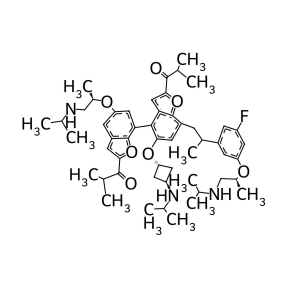 CC(C)NC[C@@H](C)Oc1cc(-c2c(O[C@H]3C[C@H](NC(C)C)C3)cc(CC(C)c3cc(F)cc(O[C@@H](C)CNC(C)C)c3)c3oc(C(=O)C(C)C)cc23)c2oc(C(=O)C(C)C)cc2c1